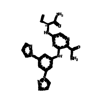 CC[C@H](Nc1cnc(C(N)=O)c(Nc2cc(-n3cccn3)cc(-n3cccn3)c2)n1)C(N)=O